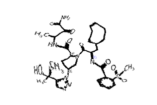 CC(NC(=O)[C@@H]1C[C@H](n2nncc2C(C)(C)O)CN1C(=O)/C(CC1CCCCC1)=N/C(=O)c1ccccc1S(C)(=O)=O)C(=O)C(N)=O